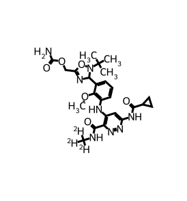 [2H]C([2H])([2H])NC(=O)c1nnc(NC(=O)C2CC2)cc1Nc1cccc(C2N=C(COC(N)=O)ON2C(C)(C)C)c1OC